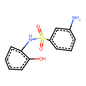 Nc1cccc(S(=O)(=O)Nc2ccccc2O)c1